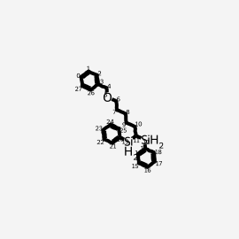 c1ccc(COCCCCCC([SiH2]c2ccccc2)[SiH2]c2ccccc2)cc1